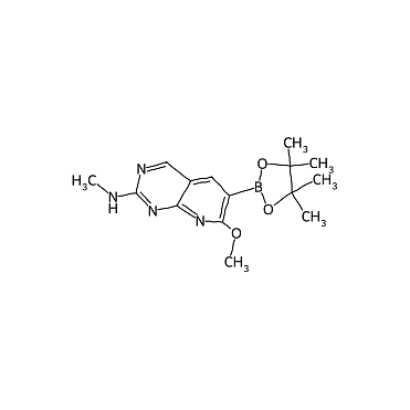 CNc1ncc2cc(B3OC(C)(C)C(C)(C)O3)c(OC)nc2n1